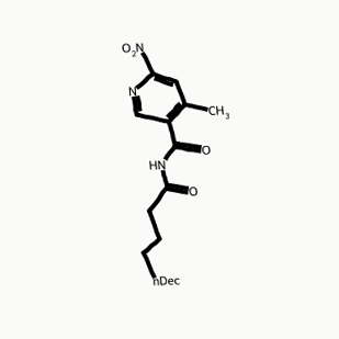 CCCCCCCCCCCCCC(=O)NC(=O)c1cnc([N+](=O)[O-])cc1C